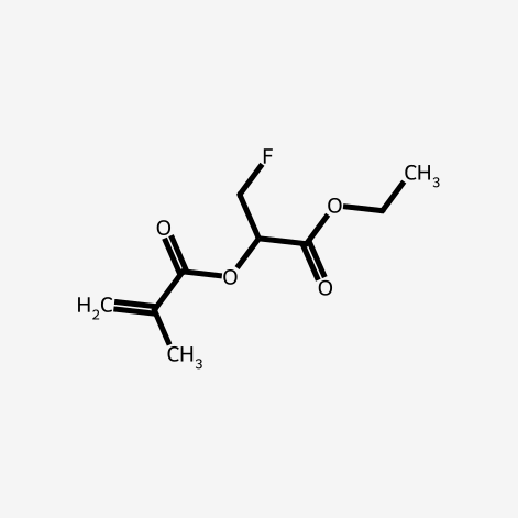 C=C(C)C(=O)OC(CF)C(=O)OCC